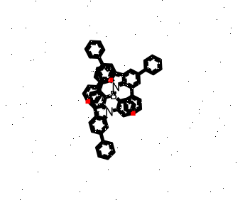 c1ccc(-c2cc(-c3ccccc3)c3c(c2)c2cc(-c4ccccc4)cc(-c4ccccc4)c2n3B2c3ccccc3-n3c4cc(-c5ccccc5)ccc4c4ccc(-c5ccccc5)c2c43)cc1